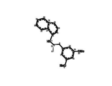 COc1cc(C[C@H](C)Nc2cccc3ccccc23)cc(OC)c1